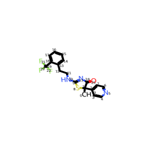 CC1(c2ccncc2)SC(NCCc2ccccc2C(F)(F)F)=NC1=O